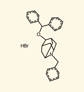 Br.c1ccc(CN2C3CC4CC2CC(C3)C4OC(c2ccccc2)c2ccccc2)cc1